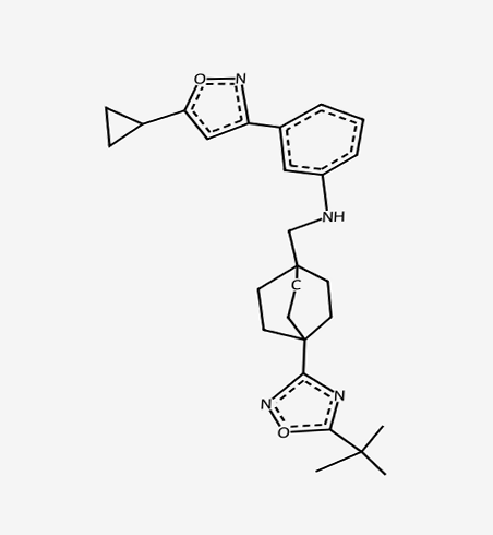 CC(C)(C)c1nc(C23CCC(CNc4cccc(-c5cc(C6CC6)on5)c4)(CC2)CC3)no1